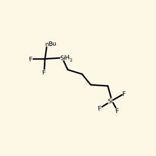 CCCCC(F)(F)[SiH2]CCCC[Si](F)(F)F